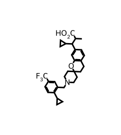 CC(C(=O)O)C(c1ccc2c(c1)OC1(CC2)CCN(Cc2cc(C(F)(F)F)ccc2C2CC2)CC1)C1CC1